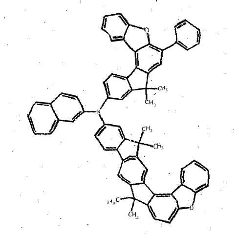 CC1(C)c2cc(N(c3ccc4c(c3)C(C)(C)c3cc(-c5ccccc5)c5oc6ccccc6c5c3-4)c3ccc4ccccc4c3)ccc2-c2cc3c(cc21)-c1c(ccc2oc4ccccc4c12)C3(C)C